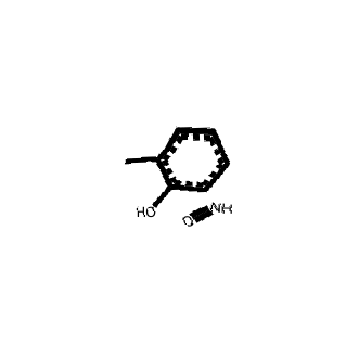 Cc1ccccc1O.N=O